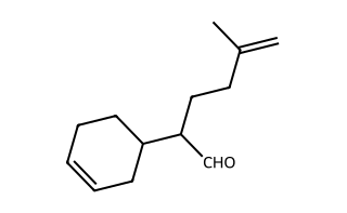 C=C(C)CCC(C=O)C1CC=CCC1